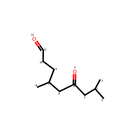 CC(C)CC(=O)CC(C)CCC=O